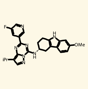 COc1ccc2c3c([nH]c2c1)CC[C@@H](Nc1nc(-c2cncc(F)c2)nc2c(C(C)C)cnn12)C3